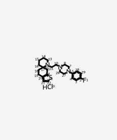 Cl.Fc1ccc(N2CCN(CCN3CCCCC34CCc3ccsc3C4)CC2)cc1